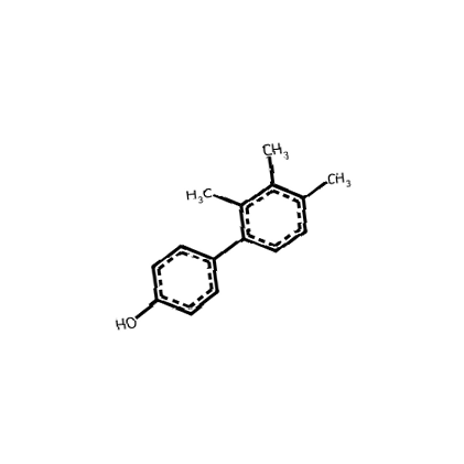 Cc1ccc(-c2ccc(O)cc2)c(C)c1C